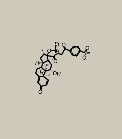 CCC(=O)O[C@]1(C(=O)SCC(=O)c2ccc(S(C)(=O)=O)cc2)[C@@H](C)C[C@H]2[C@@H]3CCC4=CC(=O)C=C[C@]4(C)[C@@]3(F)[C@@H](O)C[C@@]21C